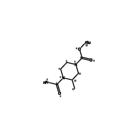 CCCC(=O)N1CCN(C(=O)OC(C)(C)C)CC1C